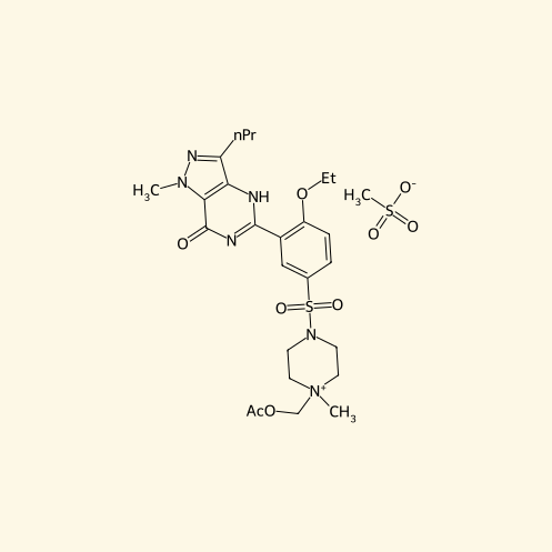 CCCc1nn(C)c2c(=O)nc(-c3cc(S(=O)(=O)N4CC[N+](C)(COC(C)=O)CC4)ccc3OCC)[nH]c12.CS(=O)(=O)[O-]